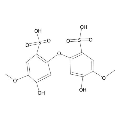 COc1cc(S(=O)(=O)O)c(Oc2cc(O)c(OC)cc2S(=O)(=O)O)cc1O